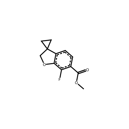 COC(=O)c1ccc2c(c1F)OCC21CC1